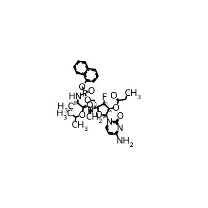 C=N[C@]1(COP(=O)(N[C@@H](C)C(=O)OC(C)C)Oc2cccc3ccccc23)O[C@@H](n2ccc(N)nc2=O)[C@H](OC(=O)CC)[C@@H]1F